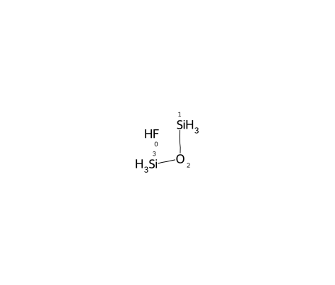 F.[SiH3]O[SiH3]